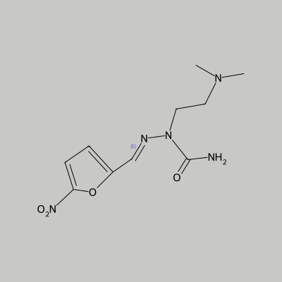 CN(C)CCN(/N=C/c1ccc([N+](=O)[O-])o1)C(N)=O